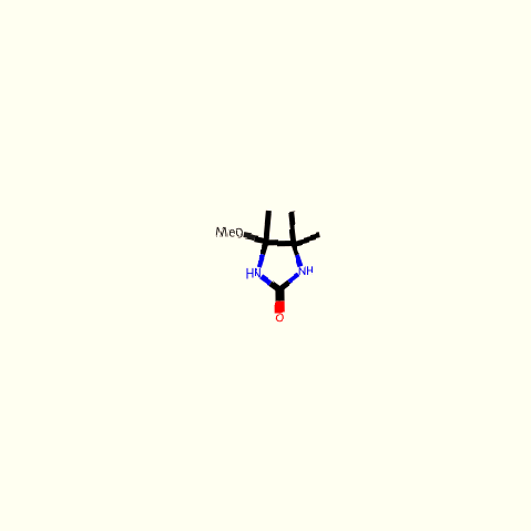 COC1(C)NC(=O)NC1(C)C